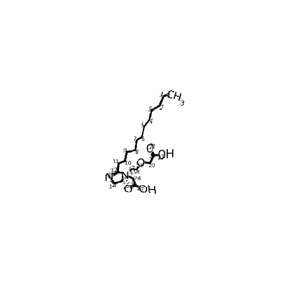 CCCCCCCCCCCCC1=NCC[N+]1(CCOCC(=O)O)CC(=O)O